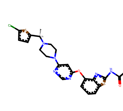 CC(=O)Nc1nc2c(Oc3cc(N4CCN([C@@H](C)c5ccc(Cl)s5)CC4)ncn3)cccc2s1